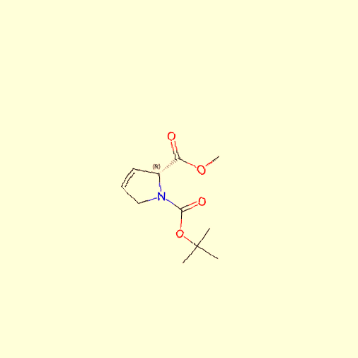 COC(=O)[C@H]1C=CCN1C(=O)OC(C)(C)C